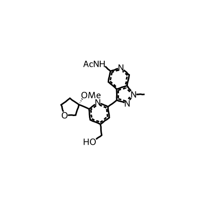 CO[C@@]1(c2cc(CO)cc(-c3nn(C)c4cnc(NC(C)=O)cc34)n2)CCOC1